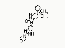 CN(C)C1(c2ccccc2)CCC2(CC1)CN(c1ccc3[nH]c(N4CCOCC4)nc3c1)C(=O)N2